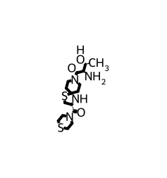 C[C@@H](O)[C@H](N)C(=O)N1CCC2(CC1)N[C@H](C(=O)N1CCSCC1)CS2